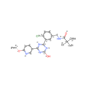 CCC[C@@H](C)Oc1ccc(-c2nc(O)nc(-c3cc(CNC(=O)C(CC)(CCC)OC)ccc3Cl)n2)cn1